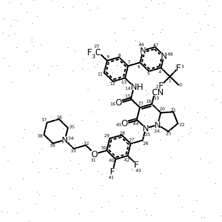 CC(F)(F)c1cc(-c2cc(C(F)(F)F)ccc2NC(=O)C2=C(C#N)C3CCCN3N(Cc3ccc(OCCN4CCCCC4)c(F)c3F)C2=O)ncn1